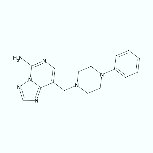 Nc1ncc(CN2CCN(c3ccccc3)CC2)c2ncnn12